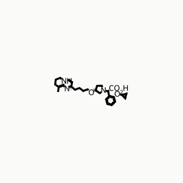 C=C/C(CCCCO[C@@H]1CCN(C(C(=O)O)c2ccccc2OC2CC2)C1)=N\C1=C(C)CCCN1